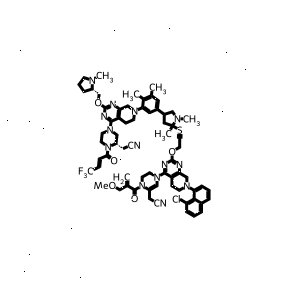 C=C(COC)C(=O)N1CCN(c2nc(OCC#SC3(C)CC(c4cc(C)c(C)c(N5CCc6c(nc(OC[C@@H]7CCCN7C)nc6N6CCN(C(=O)/C=C/C(F)(F)F)[C@@H](CC#N)C6)C5)c4)CN3C)nc3c2CCN(c2cccc4cccc(Cl)c24)C3)C=C1CC#N